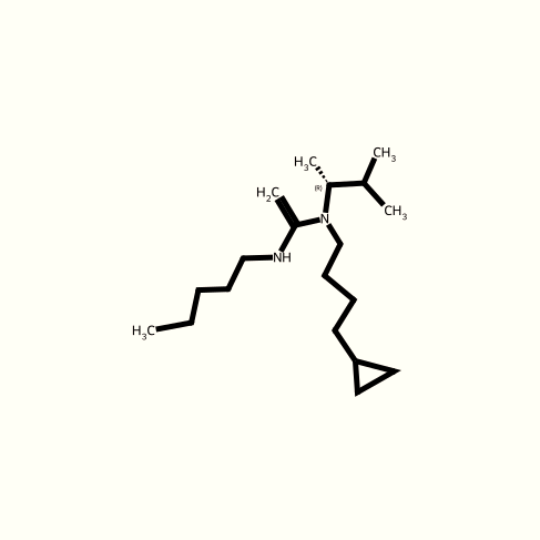 C=C(NCCCCC)N(CCCCC1CC1)[C@H](C)C(C)C